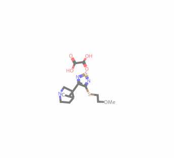 COCCSc1nsnc1C1CN2CCC1CC2.O=C(O)C(=O)O